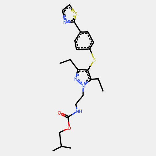 CCc1nn(CCNC(=O)OCC(C)C)c(CC)c1Sc1ccc(-c2nccs2)cc1